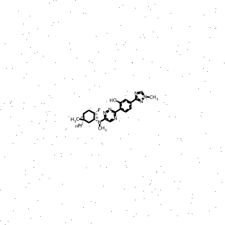 CCC[C@]1(C)CC[C@H](F)[C@H](N(C)c2cnc(-c3ccc(-c4ncn(C)n4)cc3O)nn2)C1